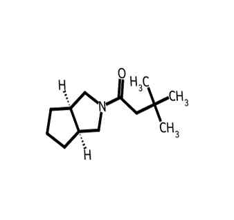 CC(C)(C)CC(=O)N1C[C@H]2CCC[C@H]2C1